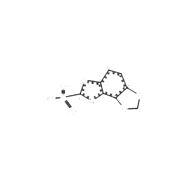 CCS(=O)(=O)c1nc2c3c(ccc2s1)OCO3